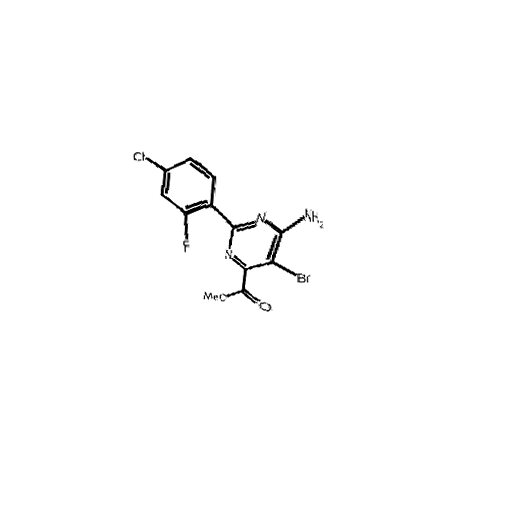 COC(=O)c1nc(-c2ccc(Cl)cc2F)nc(N)c1Br